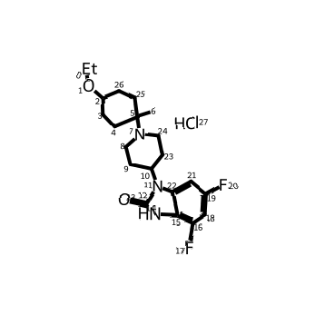 CCOC1CCC(C)(N2CCC(n3c(=O)[nH]c4c(F)cc(F)cc43)CC2)CC1.Cl